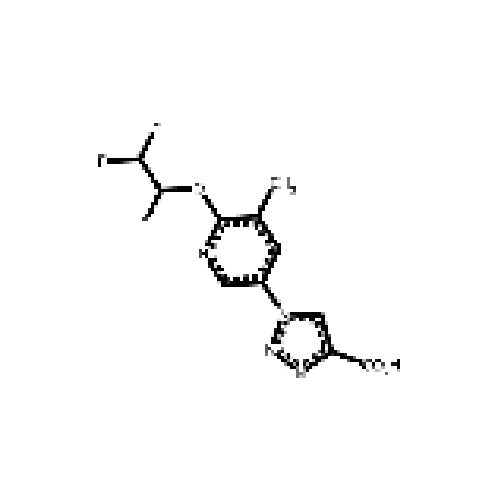 Cc1cc(-n2cc(C(=O)O)nn2)cnc1OC(F)C(F)F